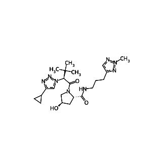 Cn1ncc(CCCNC(=O)[C@@H]2C[C@@H](O)CN2C(=O)[C@@H](n2cc(C3CC3)nn2)C(C)(C)C)n1